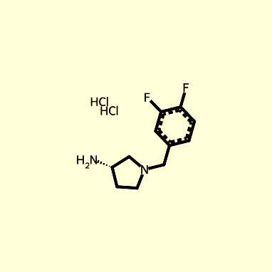 Cl.Cl.N[C@H]1CCN(Cc2ccc(F)c(F)c2)C1